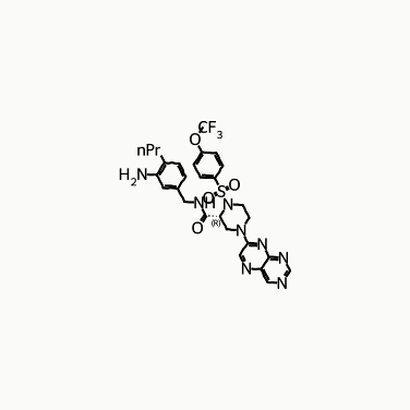 CCCc1ccc(CNC(=O)[C@H]2CN(c3cnc4cncnc4n3)CCN2S(=O)(=O)c2ccc(OC(F)(F)F)cc2)cc1N